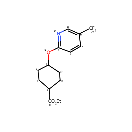 CCOC(=O)C1CCC(Oc2ccc(C(F)(F)F)cn2)CC1